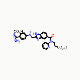 CCOC(=O)CCN(C(=O)c1ccc2[nH]c(CNc3ccc(/C(N)=N\C(=O)O)cc3)nc2c1)c1ccccn1